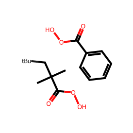 CC(C)(C)CC(C)(C)C(=O)OO.O=C(OO)c1ccccc1